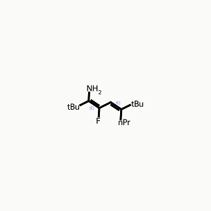 CCC/C(=C\C(F)=C(/N)C(C)(C)C)C(C)(C)C